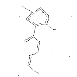 C=C(/C=C\C=C/C)c1cc(C)ccc1Cl